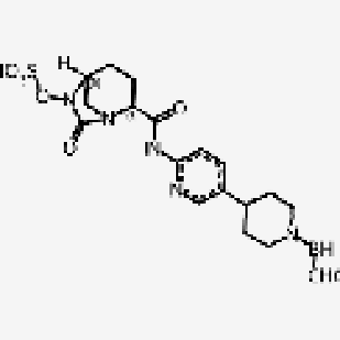 O=CBN1CCC(c2ccc(NC(=O)[C@@H]3CC[C@@H]4CN3C(=O)N4OS(=O)(=O)O)nc2)CC1